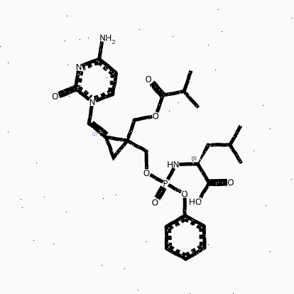 CC(C)C[C@H](NP(=O)(OCC1(COC(=O)C(C)C)C/C1=C/n1ccc(N)nc1=O)Oc1ccccc1)C(=O)O